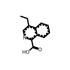 CCc1cnc(C(=O)O)c2ccccc12